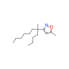 CCCCCCC(C)(CCCC)c1cc(C)on1